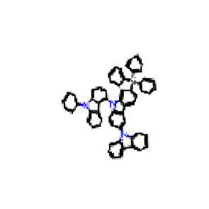 c1ccc(-n2c3ccccc3c3c(-n4c5ccc(-n6c7ccccc7c7ccccc76)cc5c5ccc([Si](c6ccccc6)(c6ccccc6)c6ccccc6)cc54)cccc32)cc1